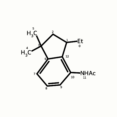 CCC1CC(C)(C)c2cccc(NC(C)=O)c21